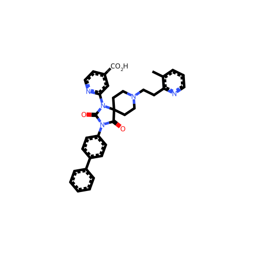 Cc1cccnc1CCN1CCC2(CC1)C(=O)N(c1ccc(-c3ccccc3)cc1)C(=O)N2c1cc(C(=O)O)ccn1